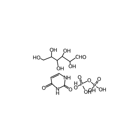 O=CC(O)C(O)C(O)C(O)CO.O=P(O)(O)OP(=O)(O)O.O=c1cc[nH]c(=O)[nH]1